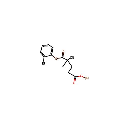 CCc1ccccc1SC(=S)C(C)(C#N)CCC(=O)OS